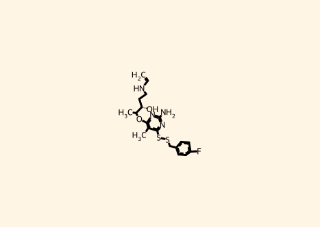 C=CNCC[C@H](O)C(C)Oc1nc(N)nc(SSCc2ccc(F)cc2)c1C